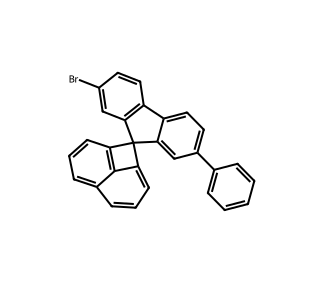 Brc1ccc2c(c1)C1(c3cc(-c4ccccc4)ccc3-2)c2cccc3cccc1c23